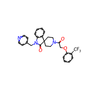 O=C(COc1ccccc1C(F)(F)F)N1CCC2(CC1)C(=O)N(Cc1ccncc1)c1ccccc12